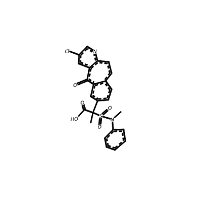 CN(c1ccccc1)S(=O)(=O)C(C)(C(=O)O)c1ccc2ccc3ncc(Cl)cc3c(=O)c2c1